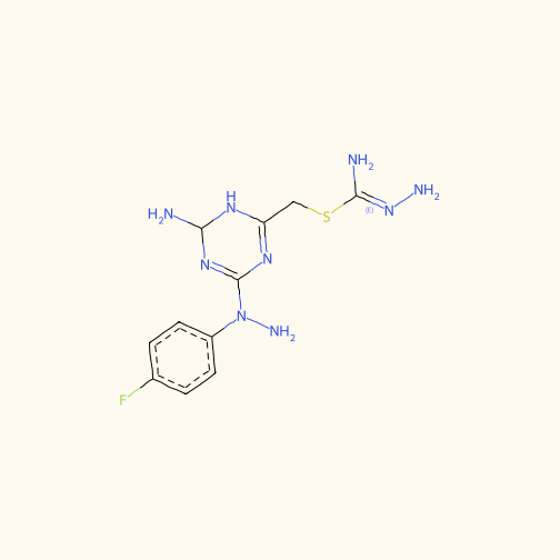 N/N=C(\N)SCC1=NC(N(N)c2ccc(F)cc2)=NC(N)N1